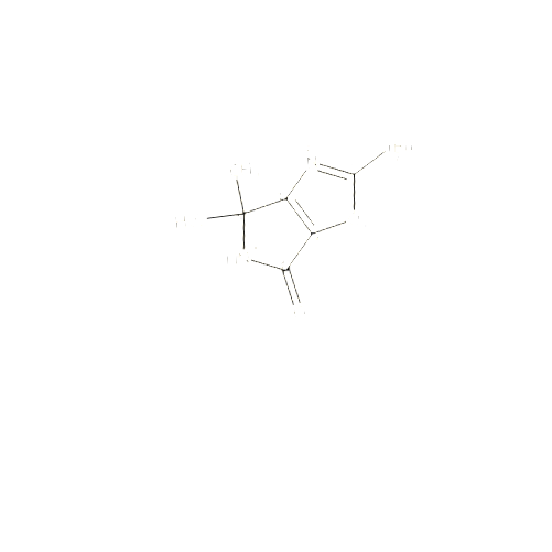 CC(C)(C)c1nc2c(o1)C(=O)NC2(C)C